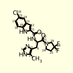 Cc1[nH]cnc1CC(NC(=O)c1cc2cc(Cl)ccc2[nH]1)C(=O)N1CCC(F)(F)C1